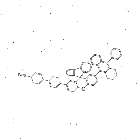 N#CC1C=CC(C2=CC=C(C3=CCC4Oc5ccc(-c6c7c(c(-c8ccccc8)c8ccccc68)CCCC7)cc5C5(C4=C3)C3=C(C=CCC3)c3ccccc35)CC2)=CC1